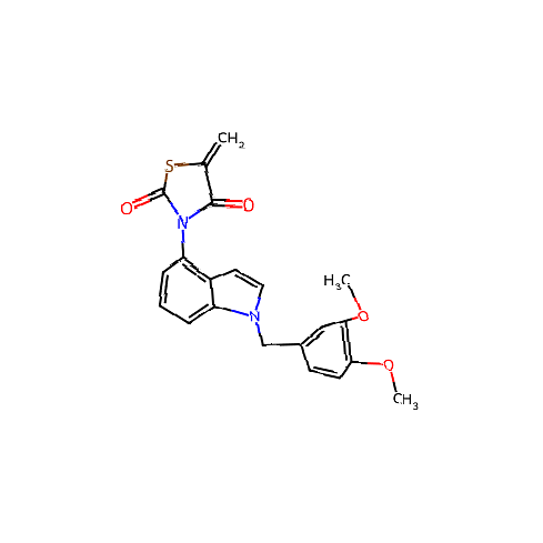 C=C1SC(=O)N(c2cccc3c2ccn3Cc2ccc(OC)c(OC)c2)C1=O